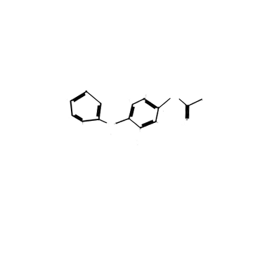 CC(=O)Oc1ccc(Oc2ccccc2)cc1.[Pd]